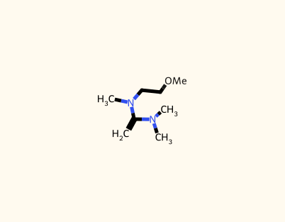 C=C(N(C)C)N(C)CCOC